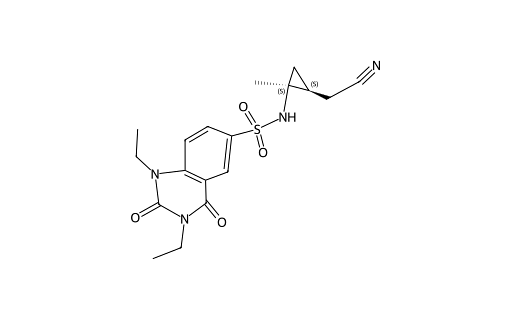 CCn1c(=O)c2cc(S(=O)(=O)N[C@@]3(C)C[C@H]3CC#N)ccc2n(CC)c1=O